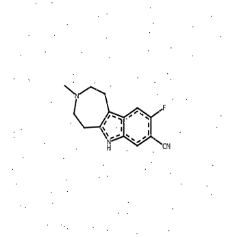 CN1CCc2[nH]c3cc(C#N)c(F)cc3c2CC1